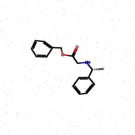 C[C@@H](NCC(=O)OCc1ccccc1)c1ccccc1